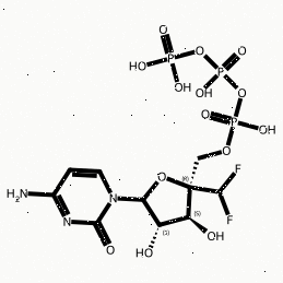 Nc1ccn(C2O[C@@](COP(=O)(O)OP(=O)(O)OP(=O)(O)O)(C(F)F)[C@@H](O)[C@@H]2O)c(=O)n1